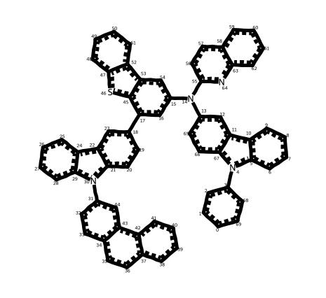 c1ccc(-n2c3ccccc3c3cc(N(c4cc(-c5ccc6c(c5)c5ccccc5n6-c5ccc6ccc7ccccc7c6c5)c5sc6ccccc6c5c4)c4ccc5ccccc5n4)ccc32)cc1